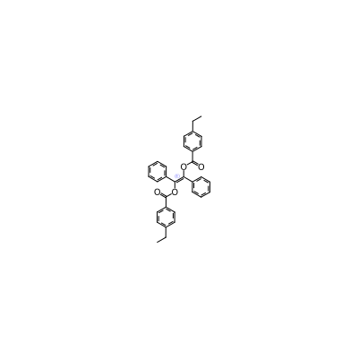 CCc1ccc(C(=O)O/C(=C(/OC(=O)c2ccc(CC)cc2)c2ccccc2)c2ccccc2)cc1